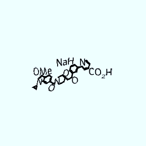 COc1cc(C(=O)N2CCC3(CC2)CC(=O)c2cc(-c4cc(C(=O)O)ccn4)ccc2O3)cc2c1ccn2C1CC1.[NaH]